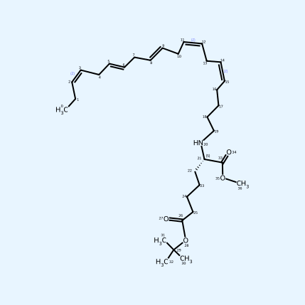 CC/C=C\CC=CCC=CC/C=C\C/C=C\CCCCN[C@@H](CCCCC(=O)OC(C)(C)C)C(=O)OC